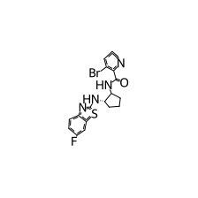 O=C(NC1CCC[C@@H]1Nc1nc2ccc(F)cc2s1)c1ncccc1Br